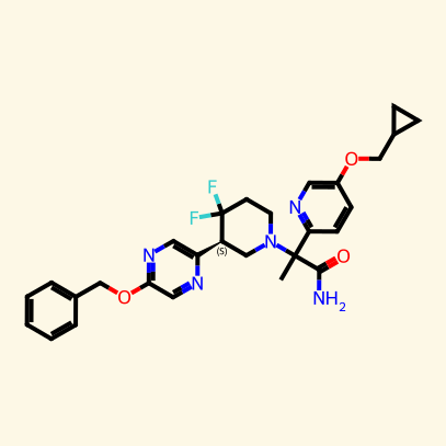 CC(C(N)=O)(c1ccc(OCC2CC2)cn1)N1CCC(F)(F)[C@H](c2cnc(OCc3ccccc3)cn2)C1